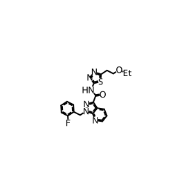 CCOCCc1nnc(NC(=O)c2nn(Cc3ccccc3F)c3ncccc23)s1